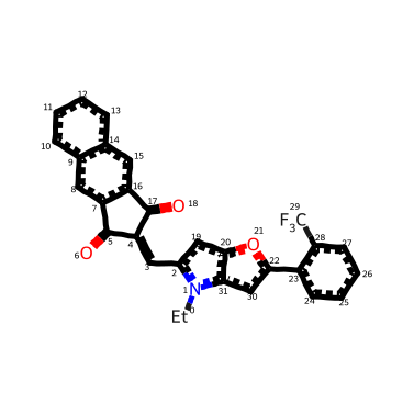 CCn1c(C=C2C(=O)c3cc4ccccc4cc3C2=O)cc2oc(-c3ccccc3C(F)(F)F)cc21